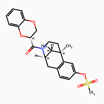 C[C@H]1[C@H]2Cc3ccc(OS(=O)(=O)C(F)(F)F)cc3[C@]1(C)CCN2C(=O)[C@H]1COc2ccccc2O1